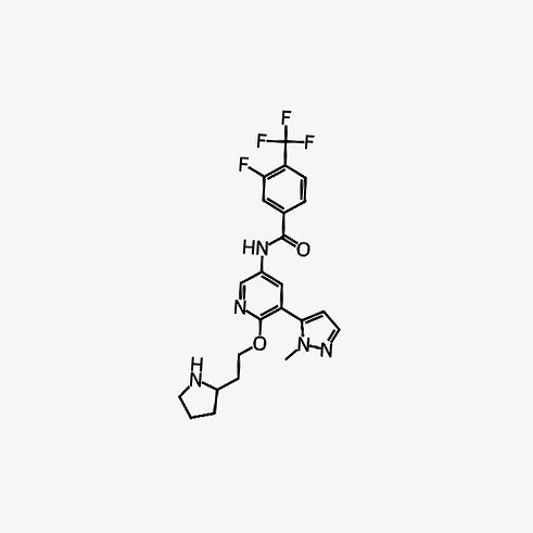 Cn1nccc1-c1cc(NC(=O)c2ccc(C(F)(F)F)c(F)c2)cnc1OCCC1CCCN1